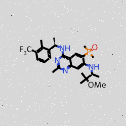 COC(C)(C)C(C)Nc1cc2nc(C)nc(N[C@H](C)c3cccc(C(F)(F)F)c3C)c2cc1P(C)(C)=O